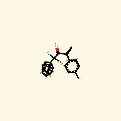 C=C(C(=O)C(C(C)=O)(C(C)=O)[C]12[CH]3[CH]4[CH]5[CH]1[Fe]45321678[CH]2[CH]1[CH]6[CH]7[CH]28)c1ccc(C)cc1